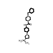 CN(C)[C@@H]1CCN(c2ccc(NC(=O)N3CCN(Cc4ccccc4)CC3)cc2)C1